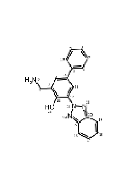 NCc1cc(-c2ccccc2)cc(-n2nc3ccccc3n2)c1O